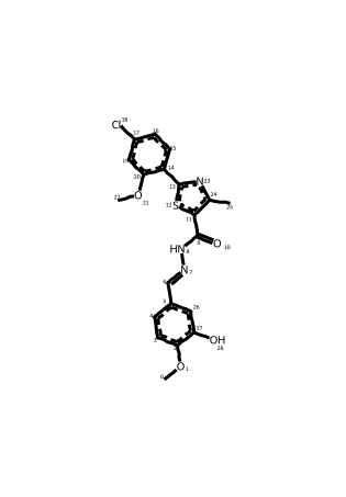 COc1ccc(/C=N/NC(=O)c2sc(-c3ccc(Cl)cc3OC)nc2C)cc1O